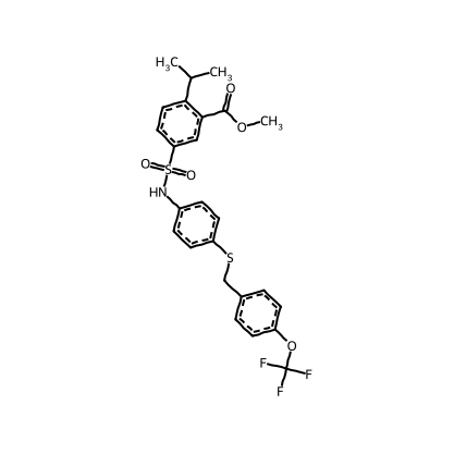 COC(=O)c1cc(S(=O)(=O)Nc2ccc(SCc3ccc(OC(F)(F)F)cc3)cc2)ccc1C(C)C